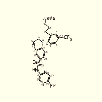 COCCCc1cc(C(F)(F)F)ccc1[C@H]1CCOc2cc(S(=O)(=O)Nc3ncc(F)cn3)ccc21